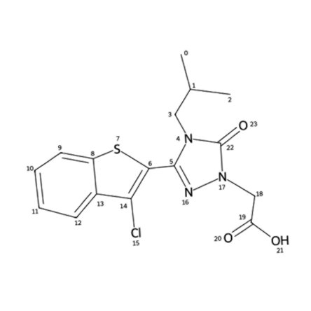 CC(C)Cn1c(-c2sc3ccccc3c2Cl)nn(CC(=O)O)c1=O